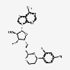 Nc1ncnc2c1ncn2[C@@H]1O[C@H](COP2OCC[C@H](c3ccc(Cl)cc3F)O2)[C@@H](O)[C@H]1O